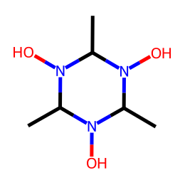 CC1N(O)C(C)N(O)C(C)N1O